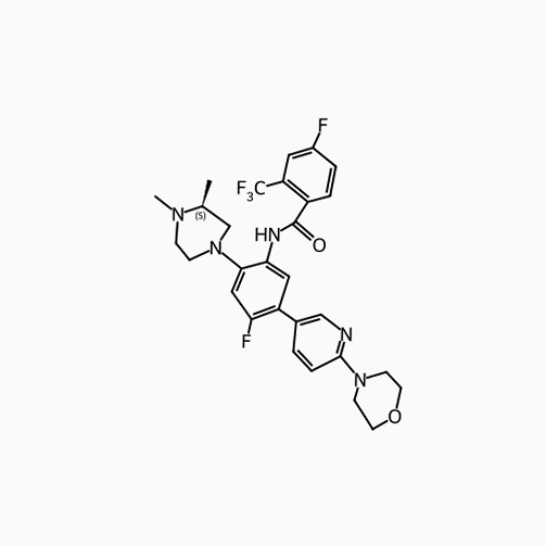 C[C@H]1CN(c2cc(F)c(-c3ccc(N4CCOCC4)nc3)cc2NC(=O)c2ccc(F)cc2C(F)(F)F)CCN1C